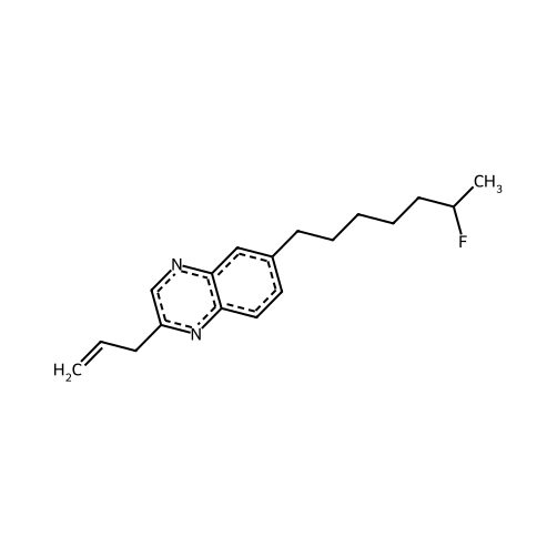 C=CCc1cnc2cc(CCCCCC(C)F)ccc2n1